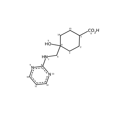 O=C(O)C1CCC(O)(CNc2ncccn2)CC1